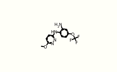 COc1ccc(Nc2ccc(OC(F)(F)F)cc2N)nn1